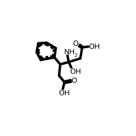 NC(O)(CC(=O)O)C(CC(=O)O)c1ccccc1